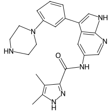 Cc1[nH]nc(C(=O)Nc2cnc3[nH]cc(-c4cccc(N5CCNCC5)c4)c3c2)c1C